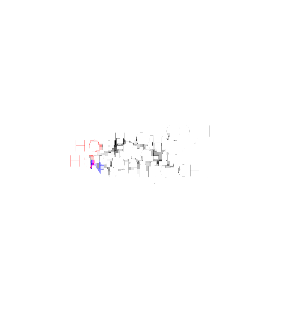 C=C(C)[C@@H]1CC[C@]2(C(=O)O)CC[C@]3(C)[C@H](CC[C@@H]4[C@@]5(C)CC/C(=N/O)C(C)(CO)[C@@H]5CC[C@]43C)[C@@H]12